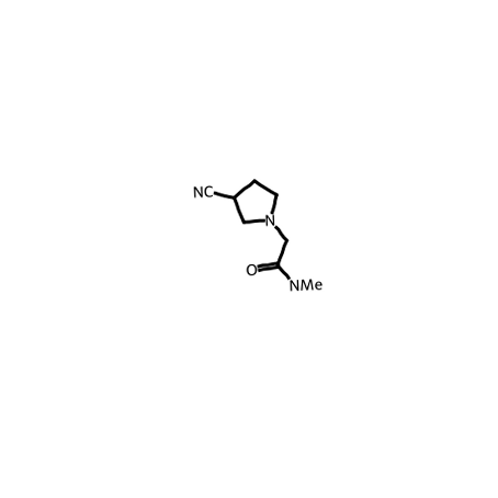 CNC(=O)CN1CCC(C#N)C1